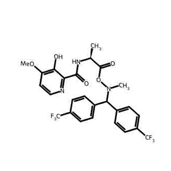 COc1ccnc(C(=O)N[C@@H](C)C(=O)ON(C)C(c2ccc(C(F)(F)F)cc2)c2ccc(C(F)(F)F)cc2)c1O